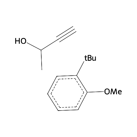 C#CC(C)O.COc1ccccc1C(C)(C)C